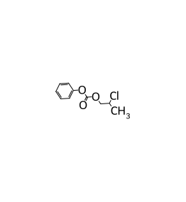 CC(Cl)COC(=O)Oc1ccccc1